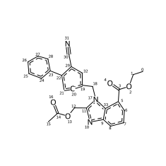 CCOC(=O)c1cccc2nc(COC(C)=O)n(Cc3ccc(-c4ccccc4)c(C#N)c3)c12